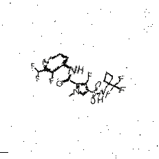 Cn1cc(S(=O)(=O)NC2(C(F)(F)F)CCC2)c(F)c1C(=O)Nc1ccnc(C(F)F)c1F